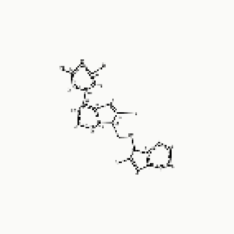 CC1=Cc2ccccc2C1CCC1C(C)=Cc2c(-c3cc(C)cc(C)c3)cccc21